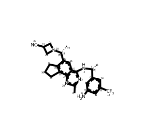 Cc1nc(N[C@H](C)c2cc(N)cc(C(F)(F)F)c2)c2cc([C@@H](C)N3CC(C#N)C3)c3c(c2n1)CCC3